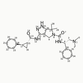 CN(C)C[C@@H](NC(=O)N1Cc2c(NC(=O)[C@@H]3C[C@H]3c3ccccc3)n[nH]c2C1(C)C)c1ccccc1